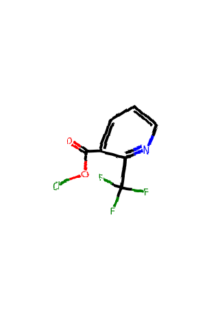 O=C(OCl)c1cccnc1C(F)(F)F